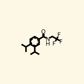 CC(C)c1ccc(C(=O)NCC(F)(F)F)cc1C(C)C